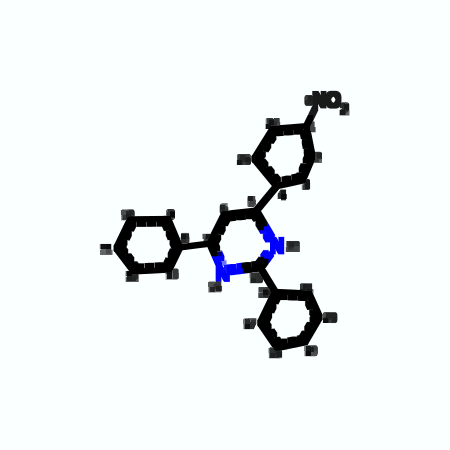 O=[N+]([O-])c1ccc(-c2cc(-c3ccccc3)nc(-c3ccccc3)n2)cc1